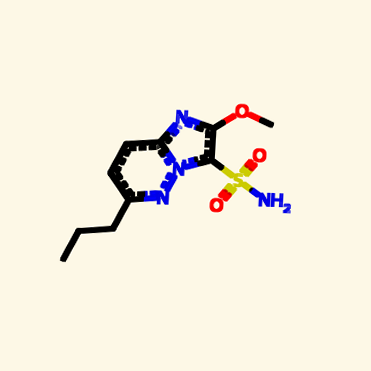 CCCc1ccc2nc(OC)c(S(N)(=O)=O)n2n1